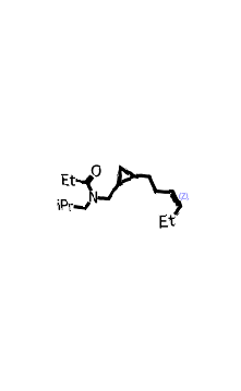 CC/C=C\CCC1CC1CN(CC(C)C)C(=O)CC